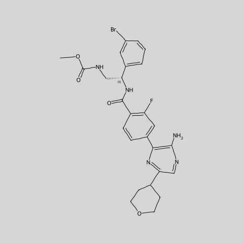 COC(=O)NC[C@@H](NC(=O)c1ccc(-c2nc(C3CCOCC3)cnc2N)cc1F)c1cccc(Br)c1